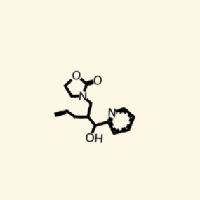 C=CCC(CN1CCOC1=O)C(O)c1ccccn1